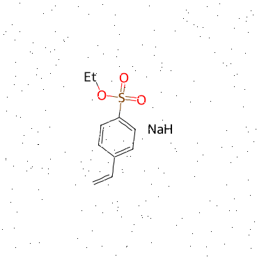 C=Cc1ccc(S(=O)(=O)OCC)cc1.[NaH]